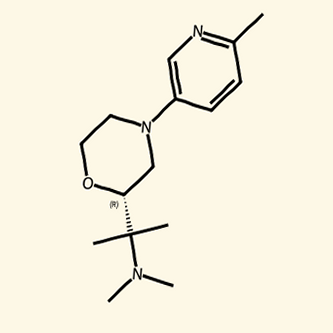 Cc1ccc(N2CCO[C@@H](C(C)(C)N(C)C)C2)cn1